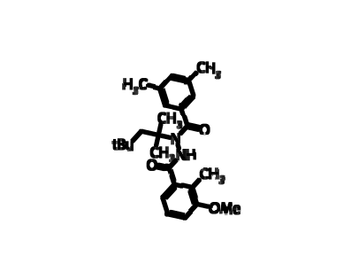 COc1cccc(C(=O)NN(C(=O)c2cc(C)cc(C)c2)C(C)(C)CC(C)(C)C)c1C